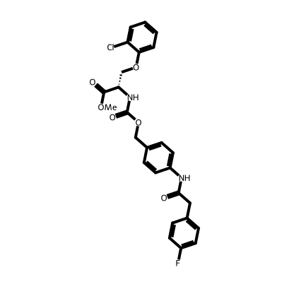 COC(=O)[C@H](COc1ccccc1Cl)NC(=O)OCc1ccc(NC(=O)Cc2ccc(F)cc2)cc1